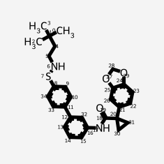 CC(C)(C)CCNSc1ccc(-c2cccc(NC(=O)C3(c4ccc5c(c4)OCO5)CC3)c2)cc1